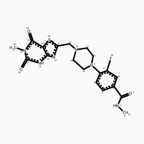 CNC(=O)c1ccc(N2CCN(Cc3nc4[nH]c(=O)n(C)c(=O)c4s3)CC2)c(F)c1